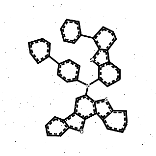 c1ccc(-c2ccc(N(c3cccc4c3sc3c(-c5ccccc5)cccc34)c3cc4c5ccccc5oc4c4c3sc3ccccc34)cc2)cc1